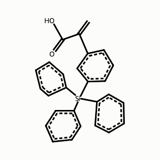 C=C(C(=O)O)c1cccc([Si](c2ccccc2)(c2ccccc2)c2ccccc2)c1